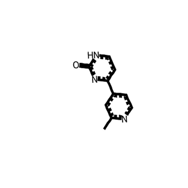 Cc1cc(-c2cc[nH]c(=O)n2)ccn1